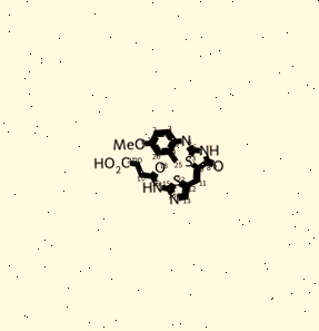 COc1ccc(N=C2NC(=O)C(=Cc3cnc(NC(=O)CCC(=O)O)s3)S2)c(C)c1